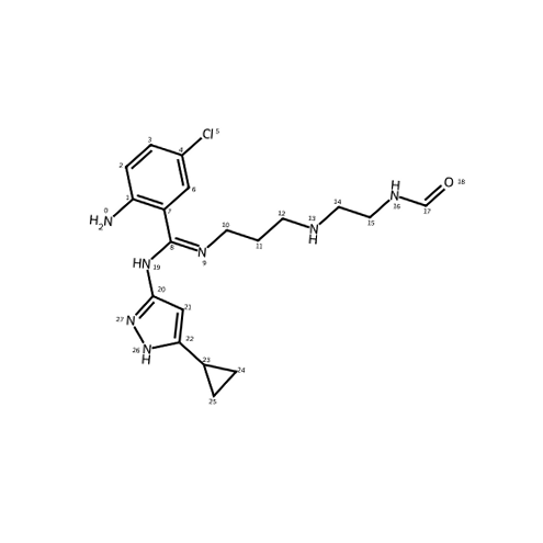 Nc1ccc(Cl)cc1/C(=N\CCCNCCNC=O)Nc1cc(C2CC2)[nH]n1